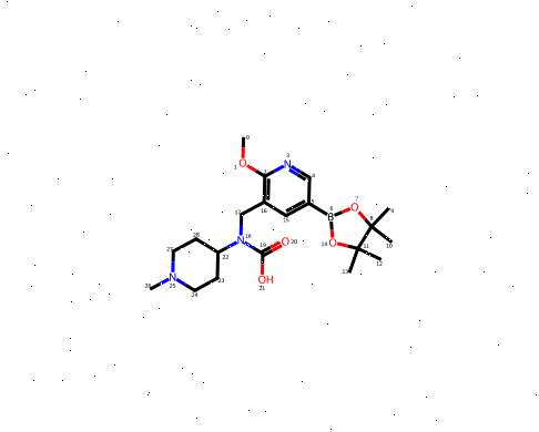 COc1ncc(B2OC(C)(C)C(C)(C)O2)cc1CN(C(=O)O)C1CCN(C)CC1